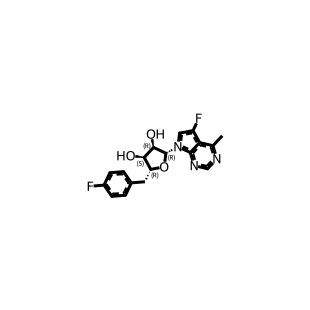 Cc1ncnc2c1c(F)cn2[C@@H]1O[C@H](Cc2ccc(F)cc2)[C@@H](O)[C@H]1O